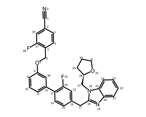 N#Cc1ccc(COc2cccc(-c3ccc(Cc4nc5ccccc5n4C[C@H]4CCCO4)cc3F)c2)c(F)c1